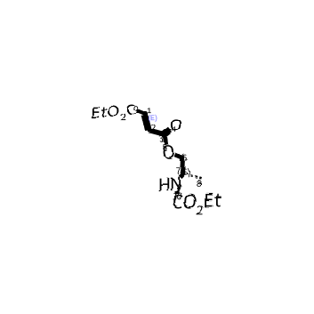 CCOC(=O)/C=C/C(=O)OC[C@H](C)NC(=O)OCC